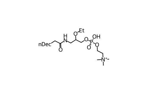 CCCCCCCCCCCC(=O)NCC(COP(=O)(O)OCC[N+](C)(C)C)OCC